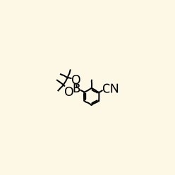 Cc1c(C#N)cccc1B1OC(C)(C)C(C)(C)O1